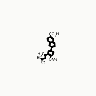 C=C(CC(CC)CC)c1cc(-c2ccc3cc(C(=O)O)ccc3c2)ccc1OC